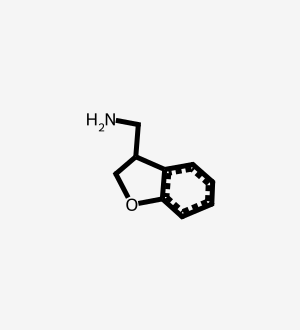 NCC1COc2ccccc21